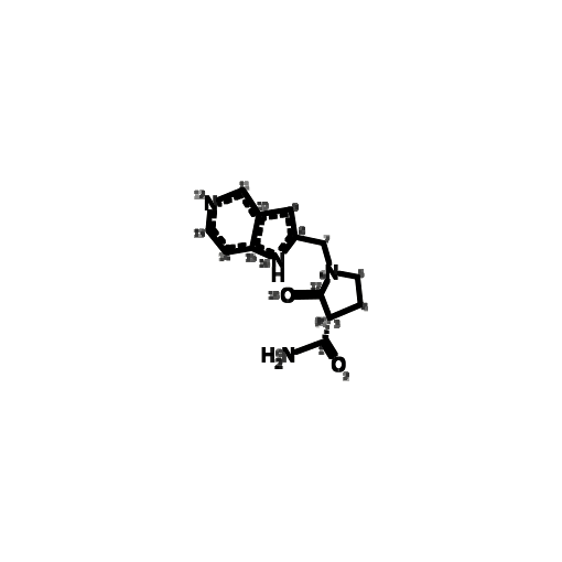 NC(=O)[C@H]1CCN(Cc2cc3cnccc3[nH]2)C1=O